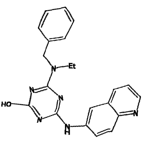 CCN(Cc1ccccc1)c1nc(O)nc(Nc2ccc3ncccc3c2)n1